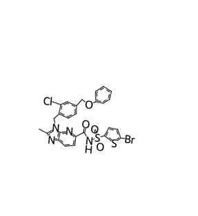 Cc1nc2ccc(C(=O)NS(=O)(=O)c3ccc(Br)s3)nc2n1Cc1ccc(COc2ccccc2)cc1Cl